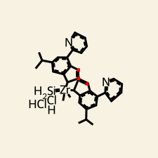 CC1=Cc2c(-c3ccccn3)cc(C(C)C)cc2[CH]1[Zr]([CH3])([CH3])(=[SiH2])[CH]1C(C)=Cc2c(-c3ccccn3)cc(C(C)C)cc21.Cl.Cl